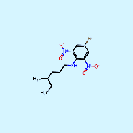 CCC(C)CCCNc1c([N+](=O)[O-])cc(Br)cc1[N+](=O)[O-]